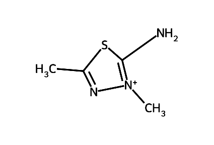 Cc1n[n+](C)c(N)s1